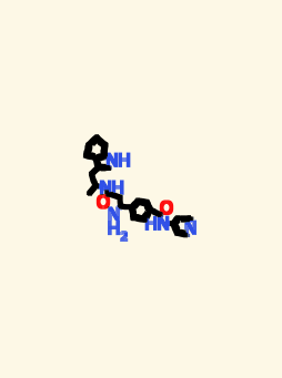 CC(Cc1c[nH]c2ccccc12)NC(=O)CC(N)c1ccc(C(=O)Nc2ccncc2)cc1